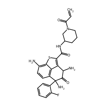 C=CC(=O)N1CCCC(NC(=O)c2sc3c(N)ccc4c3c2C(N)C(=O)C4(N)c2ccccc2F)C1